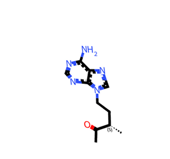 CC(=O)[C@@H](C)CCn1cnc2c(N)ncnc21